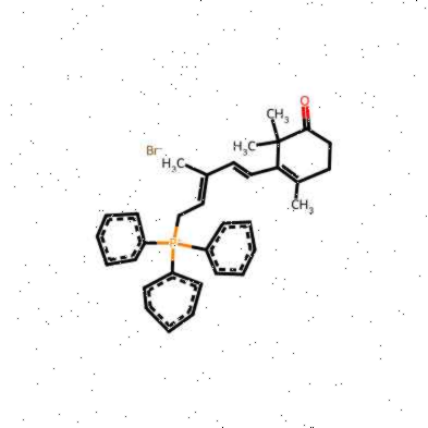 CC(C=CC1=C(C)CCC(=O)C1(C)C)=CC[P+](c1ccccc1)(c1ccccc1)c1ccccc1.[Br-]